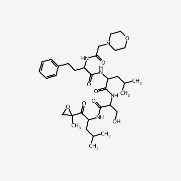 CC(C)CC(NC(=O)C(CCc1ccccc1)NC(=O)CN1CCOCC1)C(=O)NC(CO)C(=O)NC(CC(C)C)C(=O)C1(C)CO1